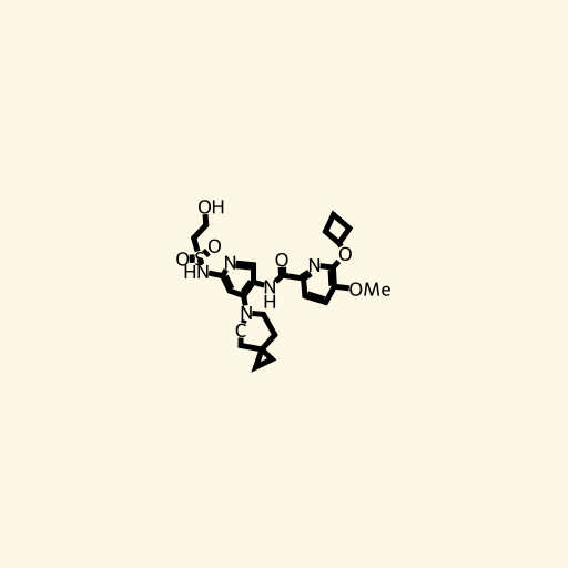 COc1ccc(C(=O)Nc2cnc(NS(=O)(=O)CCO)cc2N2CCC3(CC2)CC3)nc1OC1CCC1